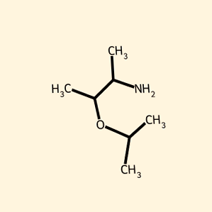 CC(C)OC(C)C(C)N